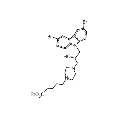 CCOC(=O)CCCCN1CCN(C[C@@H](O)Cn2c3ccc(Br)cc3c3cc(Br)ccc32)CC1